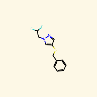 FC(F)Cn1cc(SCc2ccccc2)cn1